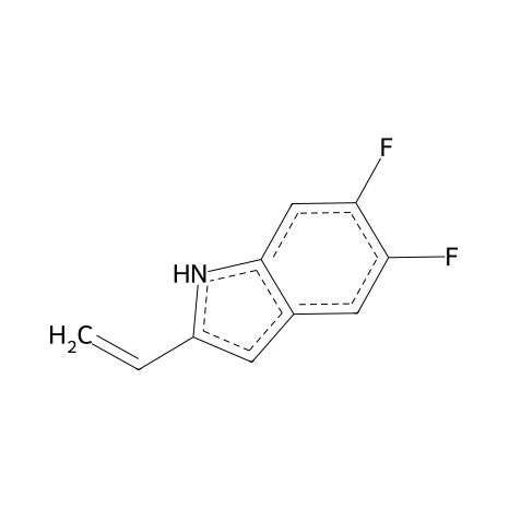 C=Cc1cc2cc(F)c(F)cc2[nH]1